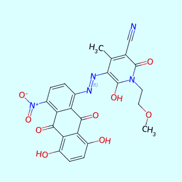 COCCn1c(O)c(/N=N/c2ccc([N+](=O)[O-])c3c2C(=O)c2c(O)ccc(O)c2C3=O)c(C)c(C#N)c1=O